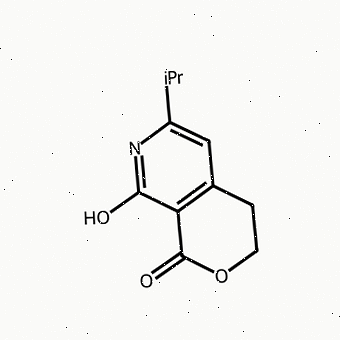 CC(C)c1cc2c(c(O)n1)C(=O)OCC2